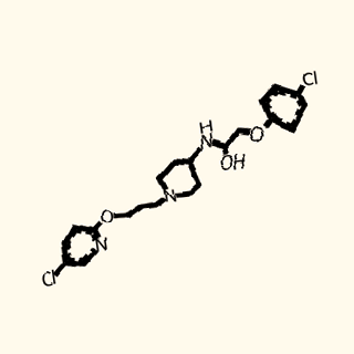 OC(COc1ccc(Cl)cc1)NC1CCN(CCCOc2ccc(Cl)cn2)CC1